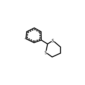 [c]1cccc(C2SCCCS2)c1